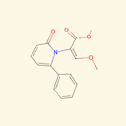 COC=C(C(=O)OC)n1c(-c2ccccc2)cccc1=O